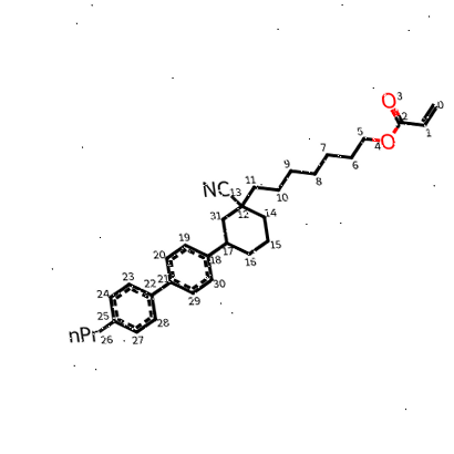 C=CC(=O)OCCCCCCCC1(C#N)CCCC(c2ccc(-c3ccc(CCC)cc3)cc2)C1